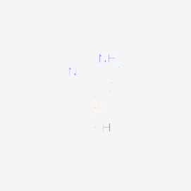 CCOC=C1SC=C(N)C1C#N